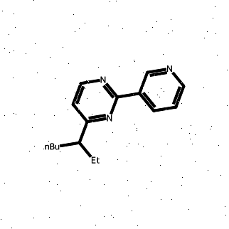 CCCCC(CC)c1ccnc(-c2cccnc2)n1